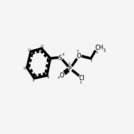 CCOP(=O)(Cl)Sc1ccccc1